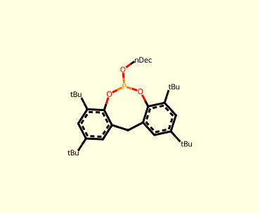 CCCCCCCCCCOP1Oc2c(cc(C(C)(C)C)cc2C(C)(C)C)Cc2cc(C(C)(C)C)cc(C(C)(C)C)c2O1